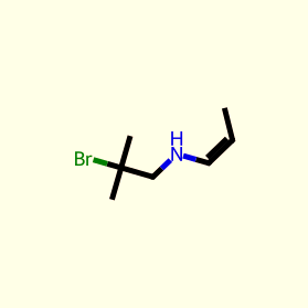 C/C=C\NCC(C)(C)Br